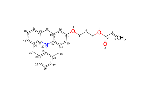 C=CC(=O)OCCCOc1cc2c3c(c1)Cc1cccc4c1N3c1c(cccc1C2)C4